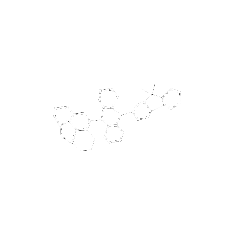 CC1(C)c2ccccc2-c2ccc(-c3c4ccccc4c(-c4cc5cccc6oc7c(c4CCC=7)c56)c4ccccc34)cc21